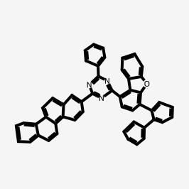 c1ccc(-c2nc(-c3ccc4c(ccc5c6ccccc6ccc45)c3)nc(-c3ccc(-c4ccccc4-c4ccccc4)c4oc5ccccc5c34)n2)cc1